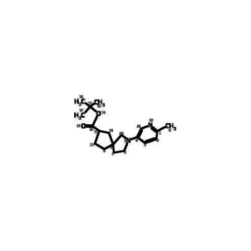 Cc1ccc(N2CCC3(CCC(C(=O)OC(C)(C)C)C3)C2)cn1